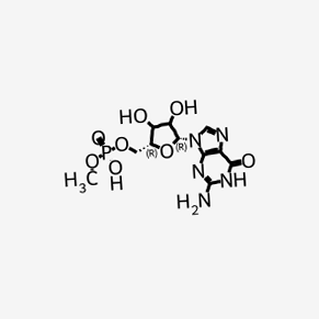 COP(=O)(O)OC[C@H]1O[C@@H](n2cnc3c(=O)[nH]c(N)nc32)C(O)C1O